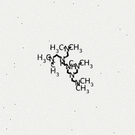 CN(C)CN(CNCN(CN(C)C)CN(C)C)CN(C)C